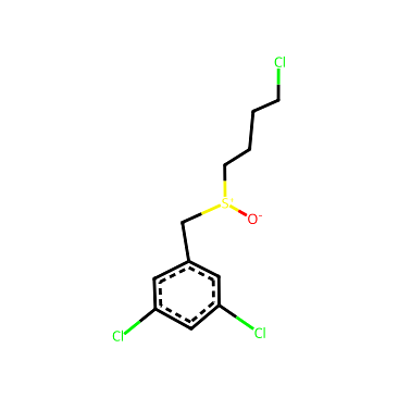 [O-][S+](CCCCCl)Cc1cc(Cl)cc(Cl)c1